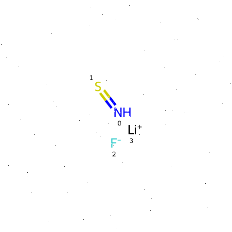 N=S.[F-].[Li+]